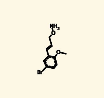 COc1ccc(Br)cc1C=CCON